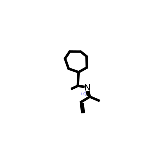 C=C/C(C)=N\C(C)C1CCCCCC1